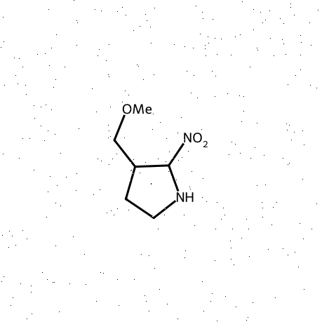 COCC1CCNC1[N+](=O)[O-]